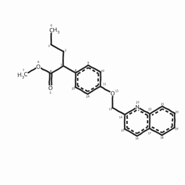 CCCC(C(=O)OC)c1ccc(OCc2ccc3ccccc3n2)cc1